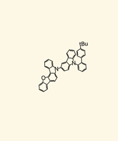 CC(C)(C)c1ccc(-c2ccccc2-n2c3ccccc3c3cc(-n4c5ccccc5c5c6oc7ccccc7c6ccc54)ccc32)cc1